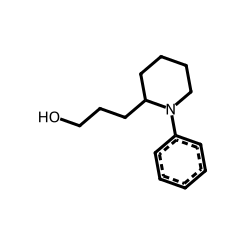 OCCCC1CCCCN1c1ccccc1